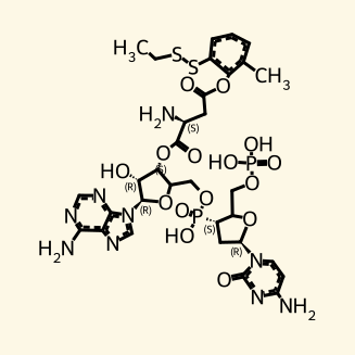 CCSSc1cccc(C)c1OC(=O)C[C@H](N)C(=O)O[C@@H]1C(COP(=O)(O)[C@H]2C[C@H](n3ccc(N)nc3=O)OC2COP(=O)(O)O)O[C@@H](n2cnc3c(N)ncnc32)[C@@H]1O